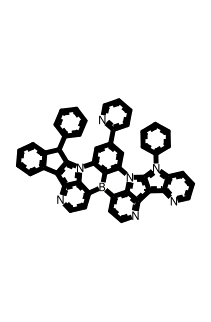 c1ccc(C2c3ccccc3-c3c2n2c4c(ccnc34)B3c4c-2cc(-c2ccccn2)cc4-n2c4c3ccnc4c3c4ncccc4n(-c4ccccc4)c32)cc1